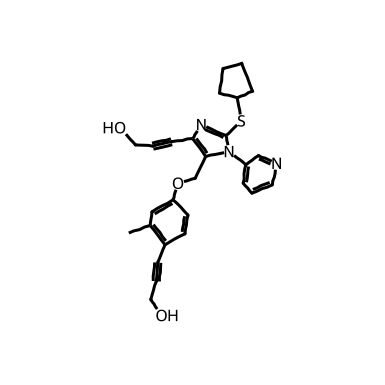 Cc1cc(OCc2c(C#CCO)nc(SC3CCCC3)n2-c2cccnc2)ccc1C#CCO